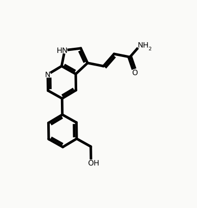 NC(=O)C=Cc1c[nH]c2ncc(-c3cccc(CO)c3)cc12